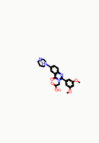 COc1cc(OC)cc(-c2nc3ccc(N4CCN5CCC4CC5)cc3c(=O)n2CC(=O)O)c1